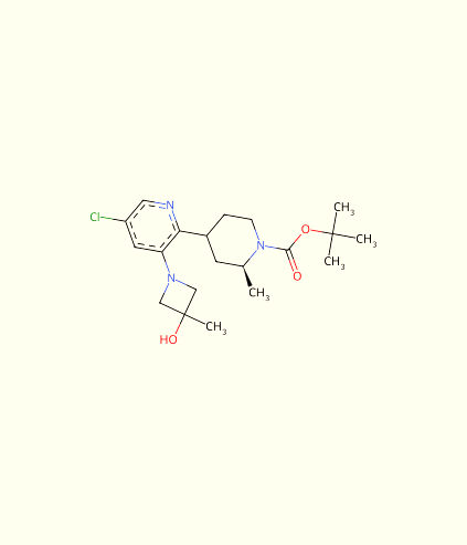 C[C@H]1CC(c2ncc(Cl)cc2N2CC(C)(O)C2)CCN1C(=O)OC(C)(C)C